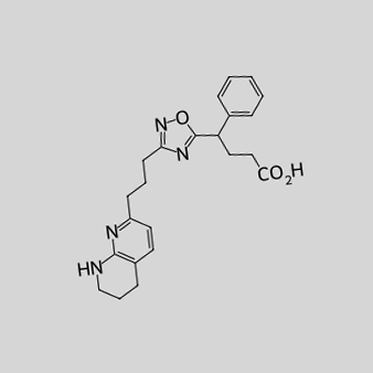 O=C(O)CCC(c1ccccc1)c1nc(CCCc2ccc3c(n2)NCCC3)no1